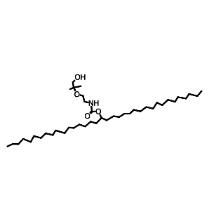 CCCCCCCCCCCCCCCCCCC(CCCCCCCCCCCCCCCCC)OC(=O)NCCOC(C)(C)CO